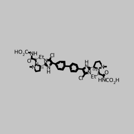 CC[C@@H](C(=O)NC(=O)O)N1[C@H](c2nc(Cl)c(-c3ccc(-c4ccc(-c5[nH]c([C@@H]6CCN(C)N6[C@@H](CC)C(=O)NC(=O)O)nc5Cl)cc4)cc3)[nH]2)CCN1C